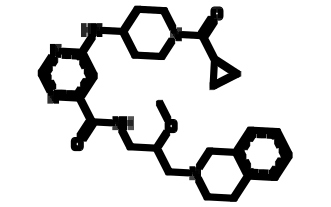 COC(CNC(=O)c1cc(NC2CCN(C(=O)C3CC3)CC2)ncn1)CN1CCc2ccccc2C1